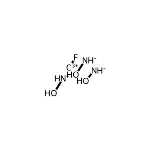 [C+3]F.[NH-]O.[NH-]O.[NH-]O